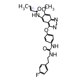 C/C=C/C(=O)Nc1cc2c(Oc3ccc(NC(=O)NCCc4ccc(F)cc4)cc3)ncnc2cc1OC